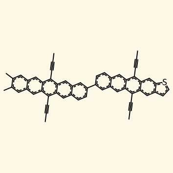 CC#Cc1c2cc3ccc(-c4ccc5cc6c(C#CC)c7cc8sccc8cc7c(C#CC)c6cc5c4)cc3cc2c(C#CC)c2cc3cc(C)c(C)cc3cc12